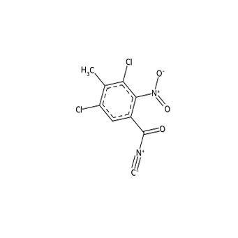 [C-]#[N+]C(=O)c1cc(Cl)c(C)c(Cl)c1[N+](=O)[O-]